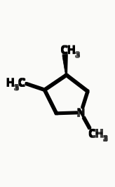 CC1CN(C)C[C@@H]1C